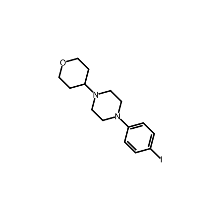 Ic1ccc(N2CCN(C3CCOCC3)CC2)cc1